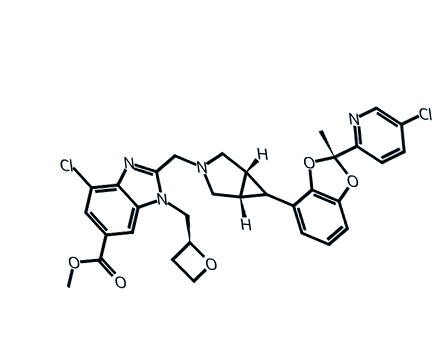 COC(=O)c1cc(Cl)c2nc(CN3C[C@@H]4C(c5cccc6c5O[C@](C)(c5ccc(Cl)cn5)O6)[C@@H]4C3)n(C[C@@H]3CCO3)c2c1